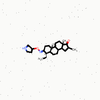 CC[C@H]1C(=NOC2CCNC2)CC[C@]2(C)C3CC[C@]4(C)C(=O)C(C)CC4C3CCC12